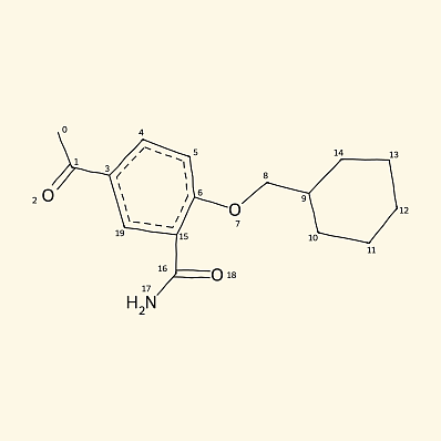 CC(=O)c1ccc(OCC2CCCCC2)c(C(N)=O)c1